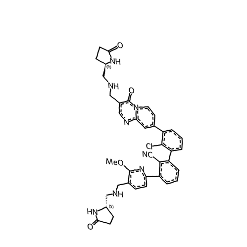 COc1nc(-c2cccc(-c3cccc(-c4ccn5c(=O)c(CNC[C@H]6CCC(=O)N6)cnc5c4)c3Cl)c2C#N)ccc1CNC[C@@H]1CCC(=O)N1